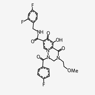 COCCN1CN(C(=O)c2ccc(F)cc2)n2cc(C(=O)NCc3ccc(F)cc3F)c(=O)c(O)c2C1=O